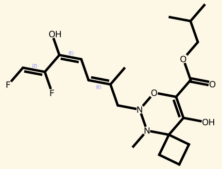 C\C(=C/C=C(O)\C(F)=C\F)CN1OC(C(=O)OCC(C)C)=C(O)C2(CCC2)N1C